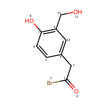 O=C(Br)Cc1ccc(O)c(CO)c1